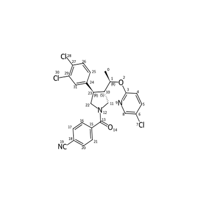 C[C@@H](Oc1ccc(Cl)cn1)[C@@H]1CN(C(=O)c2ccc(C#N)cc2)C[C@H]1c1ccc(Cl)c(Cl)c1